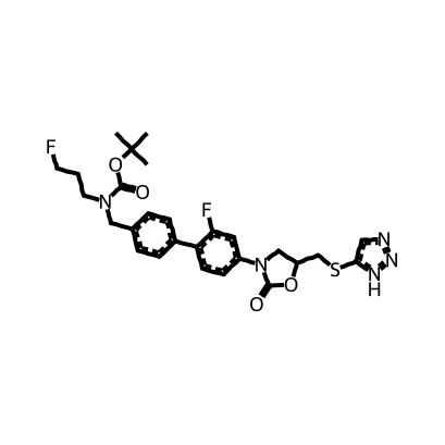 CC(C)(C)OC(=O)N(CCCF)Cc1ccc(-c2ccc(N3CC(CSc4cnn[nH]4)OC3=O)cc2F)cc1